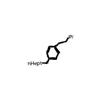 CCCCCCC[CH]c1ccc(CCC(C)C)cc1